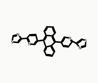 c1ccc2c(-c3ccc(-c4cscn4)nc3)c3ccccc3c(-c3ccc(-c4cscn4)nc3)c2c1